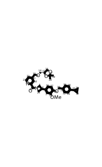 COc1cc(C2CN(C(=O)c3cc(COC[C@@H]4COC(C)(C)O4)ccn3)C2)ccc1OCc1ccc(C2CC2)cc1